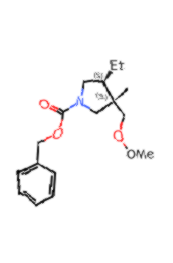 CC[C@@H]1CN(C(=O)OCc2ccccc2)C[C@@]1(C)COOC